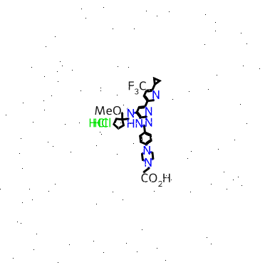 COCC1(CN(C)c2cc(-c3cnc(C4CC4)c(C(F)(F)F)c3)nc3nc(-c4ccc(N5CCN(CCC(=O)O)CC5)cc4)[nH]c23)CCCC1.Cl.Cl